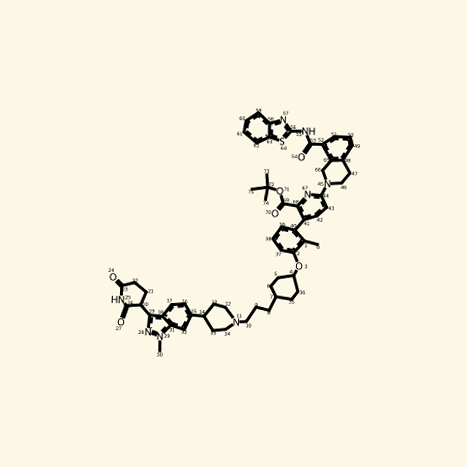 Cc1c(OC2CCC(CCCN3CCC(c4ccc5c(C6CCC(=O)NC6=O)nn(C)c5c4)CC3)CC2)cccc1-c1ccc(N2CCc3cccc(C(=O)Nc4nc5ccccc5s4)c3C2)nc1C(=O)OC(C)(C)C